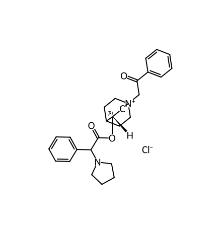 O=C(C[N+]12CCC(CC1)[C@@H](OC(=O)C(c1ccccc1)N1CCCC1)C2)c1ccccc1.[Cl-]